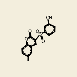 Cc1ccc2oc(=O)c(S(=O)(=O)c3cccc(C#N)c3)cc2c1